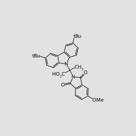 COc1ccc2c(c1)C(=O)N(C(C)(C(=O)O)n1c3ccc(C(C)(C)C)cc3c3cc(C(C)(C)C)ccc31)C2=O